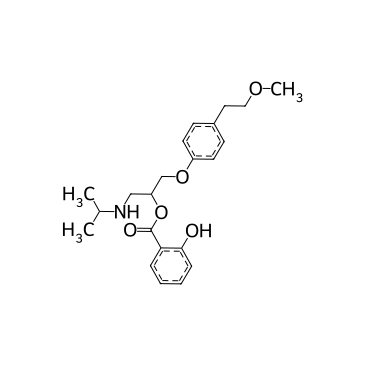 COCCc1ccc(OCC(CNC(C)C)OC(=O)c2ccccc2O)cc1